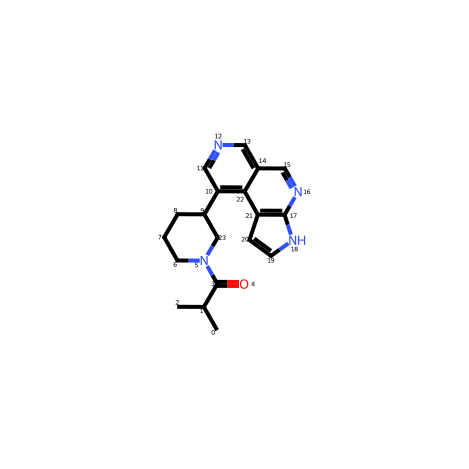 CC(C)C(=O)N1CCCC(c2cncc3cnc4[nH]ccc4c23)C1